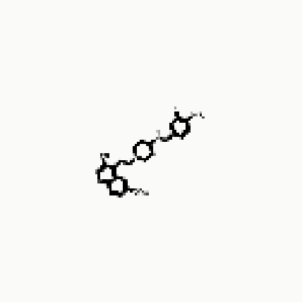 COc1ccc2ncc(C#N)c(CCN3CCC(NCc4ccc([N+](=O)[O-])c(F)c4)CC3)c2c1